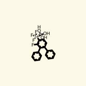 OP(O)(O)=[Te](F)(F)(F)c1ccc(-c2ccccc2)c(-c2ccccc2)c1F